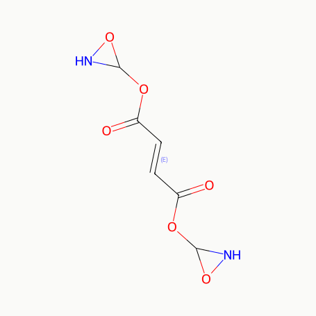 O=C(/C=C/C(=O)OC1NO1)OC1NO1